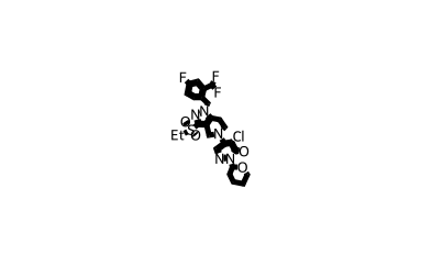 CCS(=O)(=O)c1nn(Cc2ccc(F)cc2C(F)F)c2c1CN(c1cnn(C3CCCCO3)c(=O)c1Cl)CC2